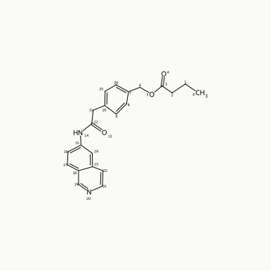 CCCC(=O)OCc1ccc(CC(=O)Nc2ccc3cnccc3c2)cc1